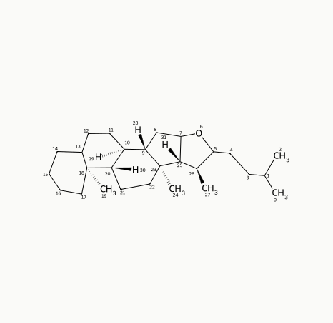 CC(C)CCC1OC2C[C@H]3[C@@H]4CCC5CCCC[C@]5(C)[C@H]4CC[C@]3(C)[C@H]2[C@@H]1C